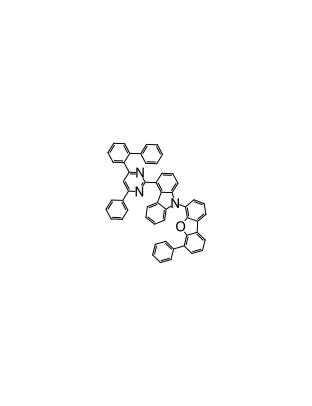 c1ccc(-c2cc(-c3ccccc3-c3ccccc3)nc(-c3cccc4c3c3ccccc3n4-c3cccc4c3oc3c(-c5ccccc5)cccc34)n2)cc1